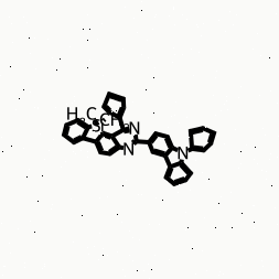 C[Si]1(C)c2ccccc2-c2ccc3nc(-c4ccc5c(c4)c4ccccc4n5-c4ccccc4)nc(-c4ccccc4)c3c21